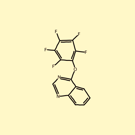 Fc1c(F)c(F)c(Oc2ncnc3ccccc23)c(F)c1F